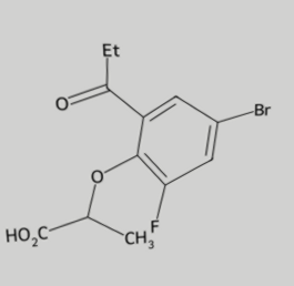 CCC(=O)c1cc(Br)cc(F)c1OC(C)C(=O)O